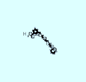 CC(=O)c1cccc(COCCOCCOCCOC2CCCCO2)c1